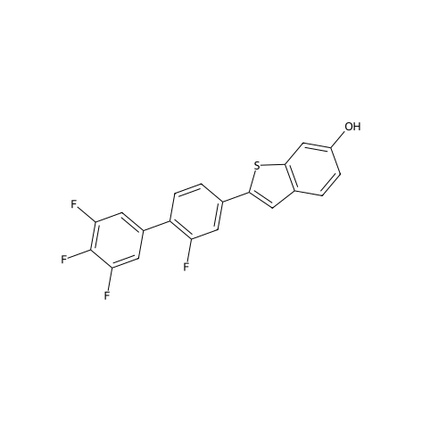 Oc1ccc2cc(-c3ccc(-c4cc(F)c(F)c(F)c4)c(F)c3)sc2c1